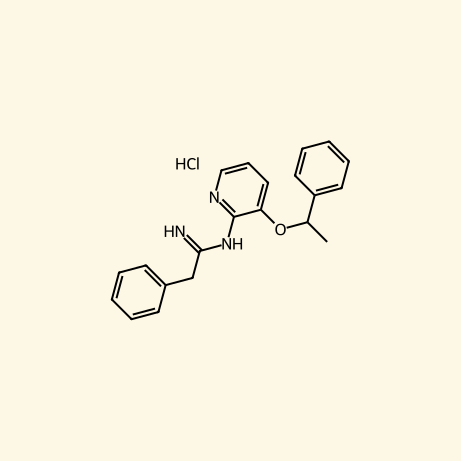 CC(Oc1cccnc1NC(=N)Cc1ccccc1)c1ccccc1.Cl